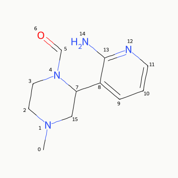 CN1CCN(C=O)C(c2cccnc2N)C1